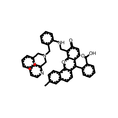 Cc1ccc2c(ccc3c(-c4ccccc4C(=O)O)c4ccc(=O)c(CNc5ccccc5CN(Cc5ccccn5)Cc5ccccn5)c-4oc32)c1